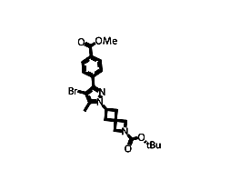 COC(=O)c1ccc(-c2nn(C3CC4(C3)CN(C(=O)OC(C)(C)C)C4)c(C)c2Br)cc1